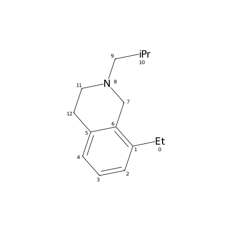 CCc1cccc2c1CN(CC(C)C)CC2